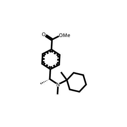 COC(=O)c1ccc([C@@H](C)N(C)C2(C)CCCCC2)cc1